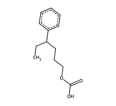 CCC(CCCOC(=O)O)c1ccccc1